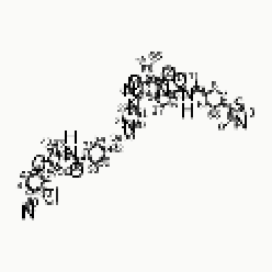 Cc1ncsc1-c1ccc([C@H](C)NC(=O)[C@@H]2CCCN2C(=O)[C@H](c2cc(N3CCN(CCCc4ccc(C(=O)N[C@H]5C(C)(C)[C@H](Oc6ccc(C#N)c(Cl)c6)C5(C)C)cc4)CC3)no2)C(C)C)cc1